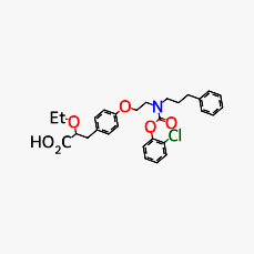 CCOC(Cc1ccc(OCCN(CCCc2ccccc2)C(=O)Oc2ccccc2Cl)cc1)C(=O)O